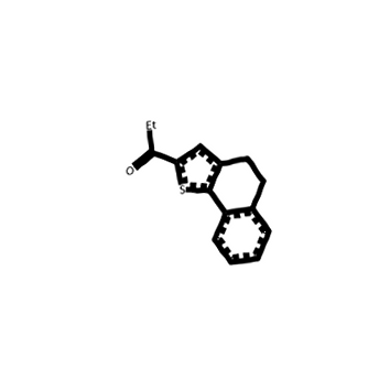 CCC(=O)c1cc2c(s1)-c1ccccc1CC2